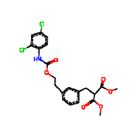 COC(=O)C(Cc1cccc(CCOC(=O)Nc2ccc(Cl)cc2Cl)c1)C(=O)OC